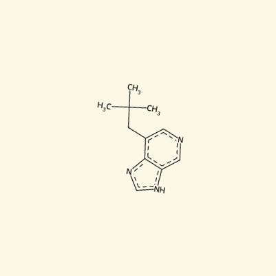 CC(C)(C)Cc1cncc2[nH]cnc12